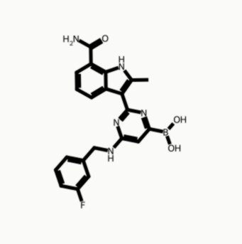 Cc1[nH]c2c(C(N)=O)cccc2c1-c1nc(NCc2cccc(F)c2)cc(B(O)O)n1